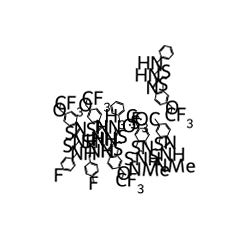 CNC(=S)Nc1nc2ccc(C(F)(F)F)cc2s1.CNC(=S)Nc1nc2ccc(S(C)(=O)=O)cc2s1.FC(F)(F)Oc1ccc2nc(NC(=S)NCc3ccccc3)sc2c1.FC(F)(F)Oc1ccc2nc(NC(=S)Nc3ccccc3)sc2c1.Fc1ccc(CNC(=S)Nc2nc3ccc(OC(F)(F)F)cc3s2)cc1.Fc1ccc(NC(=S)Nc2nc3ccc(OC(F)(F)F)cc3s2)cc1